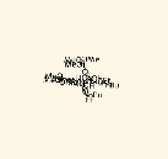 CCCCC(CC)COCC(O)CN(CCN(CC(O)COCCC[Si](OC)(OC)OC)CC(O)COCC(CC)CCCC)CC(O)COCCC[Si](OC)(OC)OC